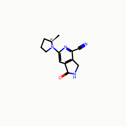 C[C@@H]1CCCN1c1cc2c(c(C#N)n1)CNC2=O